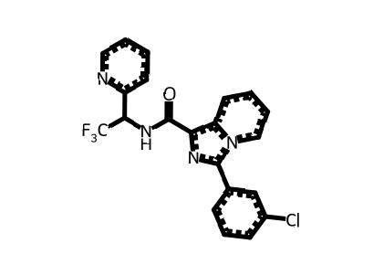 O=C(NC(c1ccccn1)C(F)(F)F)c1nc(-c2cccc(Cl)c2)n2ccccc12